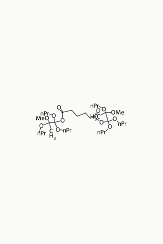 CCCOC(C)(OC)C(OCCC)(OCCC)OC(=O)CCCCC(=O)OC(OCCC)(OCCC)C(C)(OC)OCCC